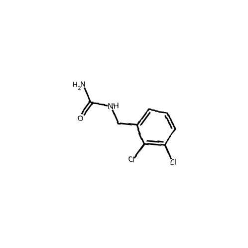 NC(=O)NCc1cccc(Cl)c1Cl